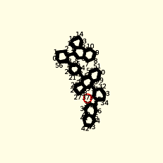 c1ccc(-c2cc3ccccc3c3ccccc23)c(-c2ccc(-c3c4ccccc4c(-c4cccc5c4oc4cc6ccccc6cc45)c4ccccc34)cc2)c1